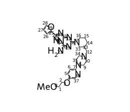 COCCOc1ccc(N2CCN(CC3CCCN(c4nc(N)n5nc(-c6ccco6)nc5n4)C3)CC2)nc1